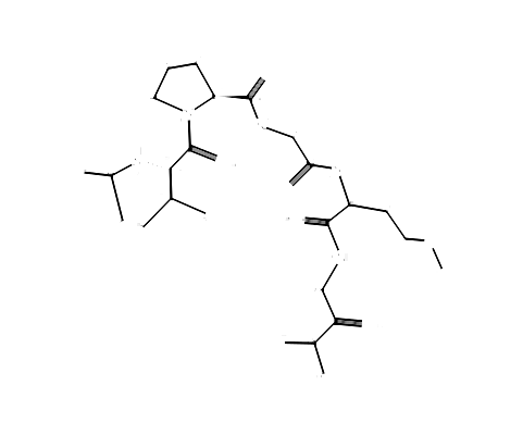 CSCCC(NC(=O)CNC(=O)[C@@H]1CCCN1C(=O)[C@@H](NC(C)C)C(C)C)C(=O)NCC(=O)C(C)C